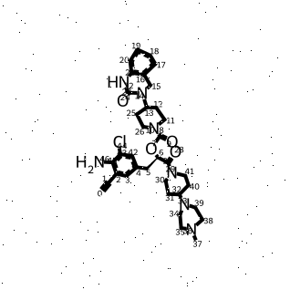 C#Cc1cc(C[C@@H](OC(=O)N2CCC(N3Cc4ccccc4NC3=O)CC2)C(=O)N2CCC(N3CCN(C)CC3)CC2)cc(Cl)c1N